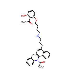 COC(=O)c1c(O)cccc1OCCCCNCCCc1ccc(N(C(=O)C(=O)O)c2ccccc2C(=O)O)c2ccccc12